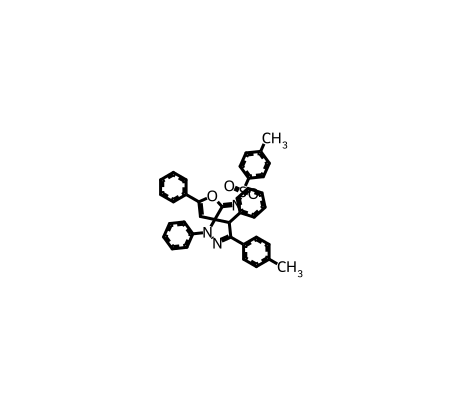 Cc1ccc(C2=NN(c3ccccc3)C3(C=C(c4ccccc4)O/C3=N\S(=O)(=O)c3ccc(C)cc3)C2c2ccccc2)cc1